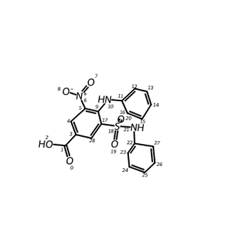 O=C(O)c1cc([N+](=O)[O-])c(Nc2ccccc2)c(S(=O)(=O)Nc2ccccc2)c1